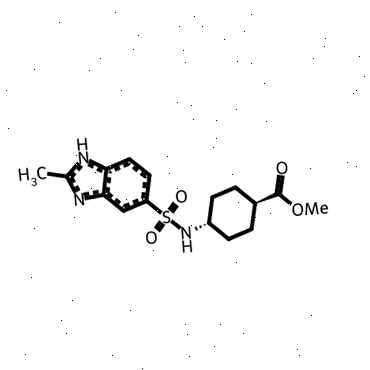 COC(=O)[C@H]1CC[C@H](NS(=O)(=O)c2ccc3[nH]c(C)nc3c2)CC1